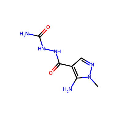 Cn1ncc(C(=O)NNC(N)=O)c1N